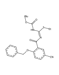 CCS/C(=N/C(=O)c1cc(C#N)ccc1OCc1ccccc1)NC(=O)OC(C)(C)C